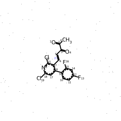 CC(=O)C(=O)/C=C/c1c(-c2ccc(F)cc2F)cc(Cl)nc1Cl